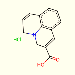 Cl.O=C(O)C1=Cc2cccc3c2N(CC=C3)C1